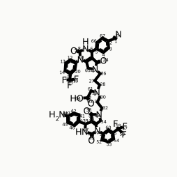 N#Cc1ccc(C2NC(=O)N(c3cccc(C(F)(F)F)c3)C3=C2C(=O)N(CCCN(CCCN2CC4=C(C2=O)C(c2ccc(N)cc2)NC(=O)N4c2cccc(C(F)(F)F)c2)CC(=O)O)C3)cc1